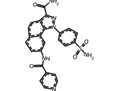 NC(=O)c1nn(-c2ccc(S(N)(=O)=O)cc2)c2c1ccc1ccc(NC(=O)c3ccncc3)cc12